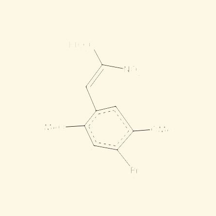 CCOC(=O)C(=Cc1cc(OC)c(Br)cc1OC)[N+](=O)[O-]